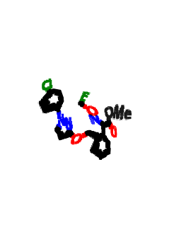 COC(=O)C(=NOCF)c1ccccc1COc1ccn(-c2ccc(Cl)cc2)n1